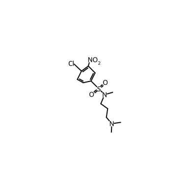 CN(C)CCCN(C)S(=O)(=O)c1ccc(Cl)c([N+](=O)[O-])c1